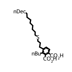 CCCCCCCCCCCCCCCCCCSCCCc1ccc(C(=O)O)c(C(=O)O)c1CCCC